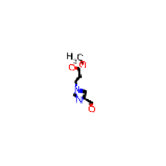 COC(=O)CCn1cnc(C=O)c1